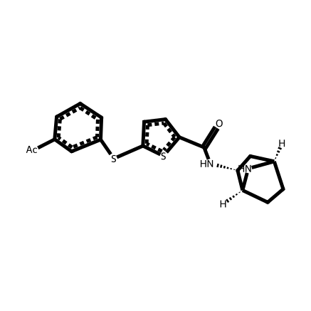 CC(=O)c1cccc(Sc2ccc(C(=O)N[C@@H]3C[C@H]4CC[C@@H]3N4)s2)c1